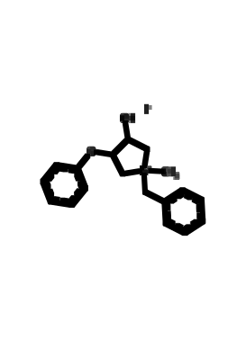 C[N+]1(Cc2ccccc2)CC(O)C(Oc2ccccc2)C1.[I-]